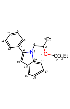 CCOC(=O)OC(CC)Cn1c(-c2ccccc2)cc2ccccc21